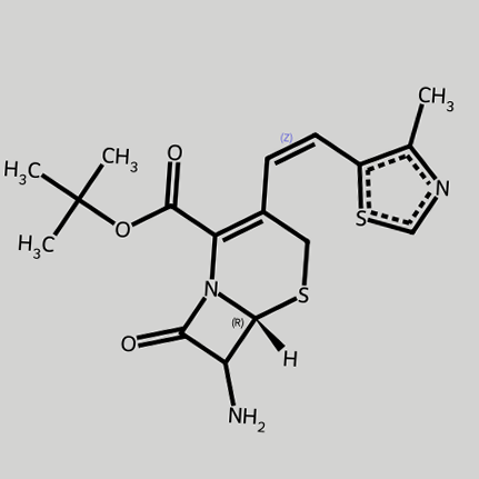 Cc1ncsc1/C=C\C1=C(C(=O)OC(C)(C)C)N2C(=O)C(N)[C@H]2SC1